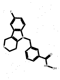 O=C(NO)c1cccc(Cn2c3c(c4cc(F)ccc42)CSCC3)c1